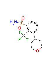 NS(=O)(=O)c1cccc(C2CCOCC2)c1C(F)(F)F